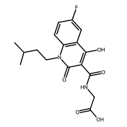 CC(C)CCn1c(=O)c(C(=O)NCC(=O)O)c(O)c2cc(F)ccc21